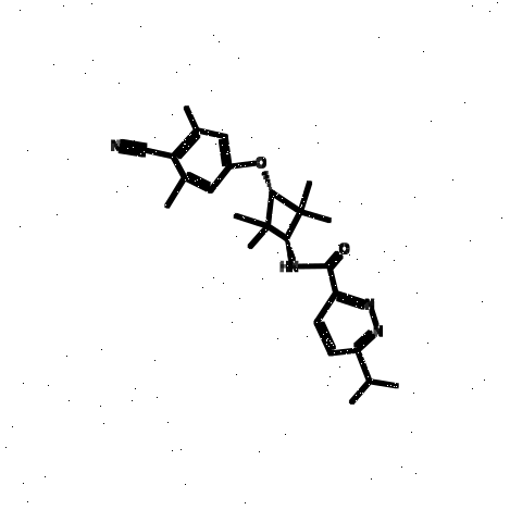 Cc1cc(O[C@H]2C(C)(C)[C@H](NC(=O)c3ccc(C(C)C)nn3)C2(C)C)cc(C)c1C#N